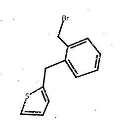 BrCc1ccccc1Cc1cccs1